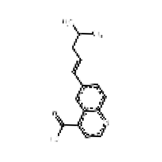 CC(C)C/C=C/c1ccc2nccc(C(=O)O)c2c1